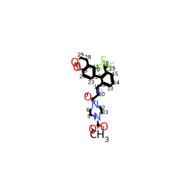 COC(=O)N1CCN(C(=O)/C=C/c2cc[c]c(C(F)(F)F)c2-c2ccc3c(c2)CCOO3)CC1